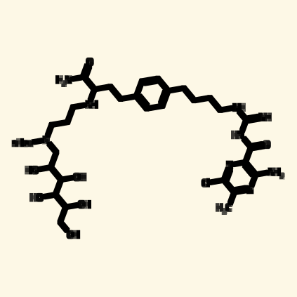 CCCCCCN(CCCNC(CCc1ccc(CCCCNC(=N)NC(=O)c2nc(Cl)c(C)nc2N)cc1)C(N)=O)CC(O)C(O)C(O)C(O)CO